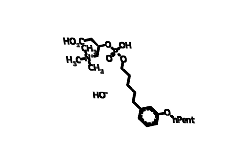 CCCCCOc1cccc(CCCCCOP(=O)(O)O[C@H](CC(=O)O)C[N+](C)(C)C)c1.[OH-]